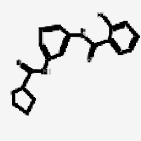 O=C(Nc1cccc(NC(=O)C2CCCC2)c1)c1ccccc1Br